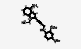 COc1cc(SC)ccc1NCC#Cc1cc2c(N)cccc2n1CC#N